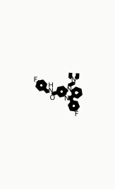 CCN(CC)CCN1c2ccc(C(=O)NCc3ccc(F)cc3)cc2N=C(c2ccc(F)cc2)C2C=CC=CC21